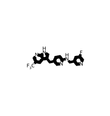 Fc1cncc(CNc2ccc(Cc3c[nH]c4ncc(C(F)(F)F)cc34)cn2)c1